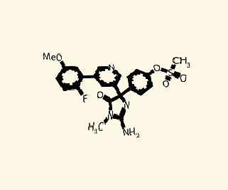 COc1ccc(F)c(-c2cncc(C3(c4ccc(OS(C)(=O)=O)cc4)N=C(N)N(C)C3=O)c2)c1